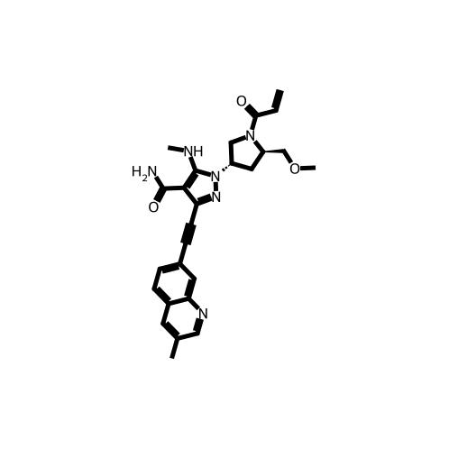 C=CC(=O)N1C[C@@H](n2nc(C#Cc3ccc4cc(C)cnc4c3)c(C(N)=O)c2NC)C[C@@H]1COC